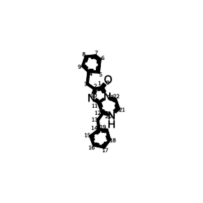 O=c1c(Cc2ccccc2)nc2c(Cc3ccccc3)[nH]ccn1-2